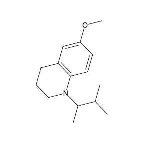 COc1ccc2c(c1)CCCN2C(C)C(C)C